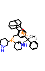 CC(C)(c1ccccc1)c1ccc(C23CC4CC(CC(C4)C2CP)C3)c(CP(C2CCCNC2)C2CCCNC2)c1